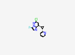 Fc1cnc2c([C@H]3C[C@@H]3c3ccccn3)cc(Cl)nn12